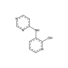 Oc1ncccc1Nc1ccncn1